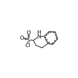 O=S(=O)(Cl)C1CCc2ccccc2N1